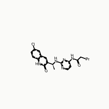 CC(C)CC(=O)Nc1ccnc(N[C@@H](C)c2cc3cc(Cl)ccc3[nH]c2=O)n1